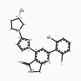 N#Cc1cccc(F)c1-c1cc(-n2ccc(N3CC[C@H](O)C3)n2)c2c(n1)CNC2=O